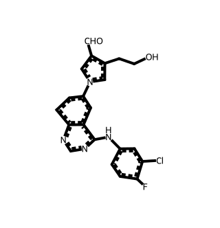 O=Cc1cn(-c2ccc3ncnc(Nc4ccc(F)c(Cl)c4)c3c2)cc1CCO